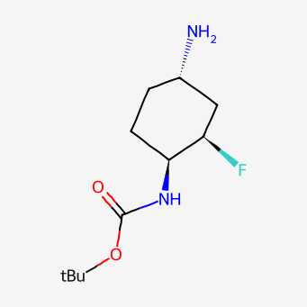 CC(C)(C)OC(=O)N[C@H]1CC[C@H](N)C[C@H]1F